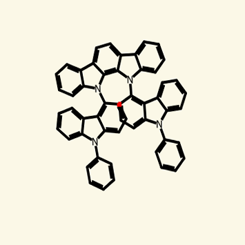 c1ccc(-n2c3ccccc3c3c(-n4c5ccccc5c5ccc6c7ccccc7n(-c7cccc8c7c7ccccc7n8-c7ccccc7)c6c54)cccc32)cc1